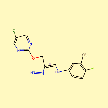 N=N/C(=C\Nc1ccc(F)c(C(F)(F)F)c1)COc1ncc(Cl)cn1